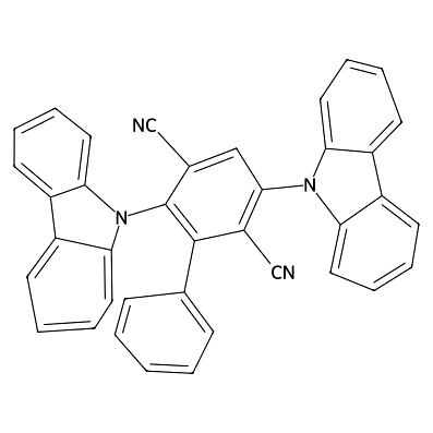 N#Cc1cc(-n2c3ccccc3c3ccccc32)c(C#N)c(-c2ccccc2)c1-n1c2ccccc2c2ccccc21